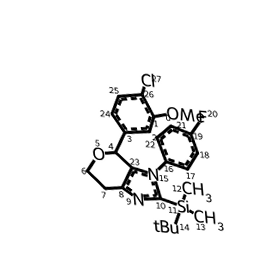 COc1cc(C2OCCc3nc([Si](C)(C)C(C)(C)C)n(-c4ccc(F)cc4)c32)ccc1Cl